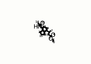 CCOC(=O)CC(C)c1ccc(NC(C)=O)c2c1CCC2